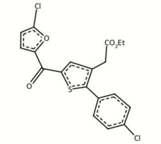 CCOC(=O)Cc1cc(C(=O)c2ccc(Cl)o2)sc1-c1ccc(Cl)cc1